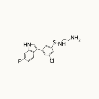 NCCNSc1cc(Cl)cc(-c2c[nH]c3cc(F)ccc23)c1